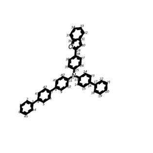 c1ccc(-c2ccc(-c3ccc(N(c4ccc(-c5ccccc5)cc4)c4ccc(-c5cc6ccccc6o5)cc4)cc3)cc2)cc1